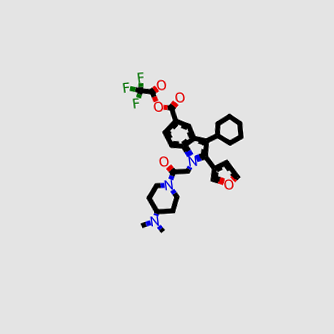 CN(C)C1CCN(C(=O)Cn2c(-c3ccoc3)c(C3CCCCC3)c3cc(C(=O)OC(=O)C(F)(F)F)ccc32)CC1